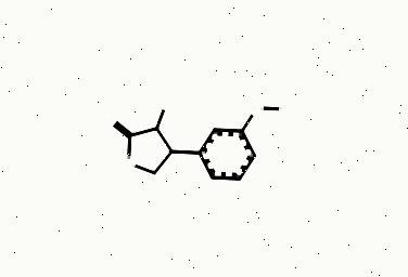 COc1cccc(C2COC(=O)C2O)c1